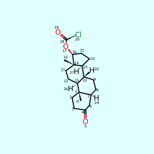 C[C@]12CCC(=O)C[C@@H]1CC[C@@H]1[C@@H]2CC[C@]2(C)[C@@H](OC(=O)Cl)CC[C@@H]12